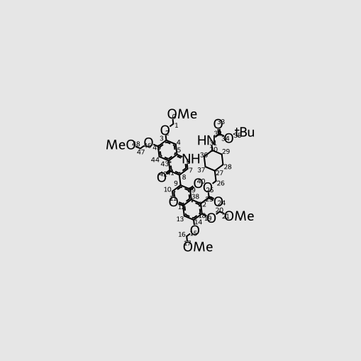 COCOc1cc2[nH]cc(-c3coc4cc(OCOC)c(OCOC)c(C(=O)OCC5CCC(NC(=O)OC(C)(C)C)CC5)c4c3=O)c(=O)c2cc1OCOC